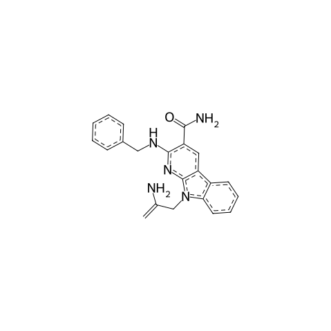 C=C(N)Cn1c2ccccc2c2cc(C(N)=O)c(NCc3ccccc3)nc21